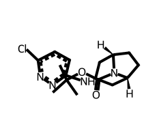 CC(C)(C)OC(=O)N1[C@@H]2CC[C@H]1CC(Nc1ccc(Cl)nn1)C2